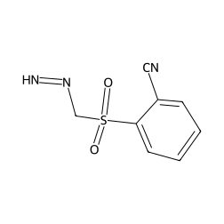 N#Cc1ccccc1S(=O)(=O)CN=N